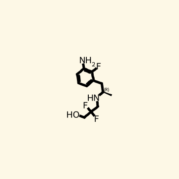 C[C@H](Cc1cccc(N)c1F)NCC(F)(F)CO